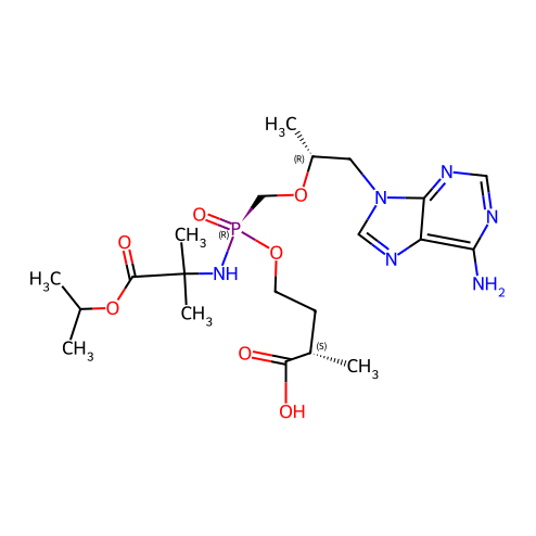 CC(C)OC(=O)C(C)(C)N[P@@](=O)(CO[C@H](C)Cn1cnc2c(N)ncnc21)OCC[C@H](C)C(=O)O